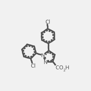 O=C(O)c1cc(-c2ccc(Cl)cc2)n(-c2ccccc2Cl)n1